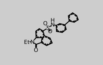 CCN1C(=O)c2cccc3c(S(=O)(=O)Nc4cccc(-c5ccccc5)c4)ccc1c23